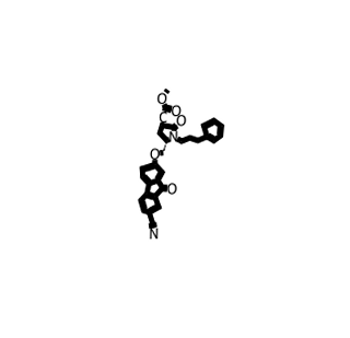 COC(=O)C[C@@H]1C[C@@H](COc2ccc3c(c2)C(=O)c2cc(C#N)ccc2-3)N(CCCc2ccccc2)C1=O